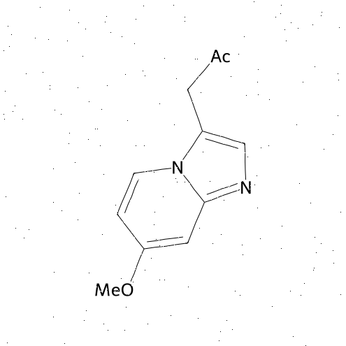 COc1ccn2c(CC(C)=O)cnc2c1